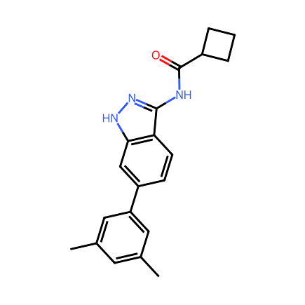 Cc1cc(C)cc(-c2ccc3c(NC(=O)C4CCC4)n[nH]c3c2)c1